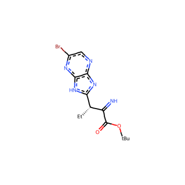 CC[C@@H](C(=N)C(=O)OC(C)(C)C)c1nc2ncc(Br)nc2[nH]1